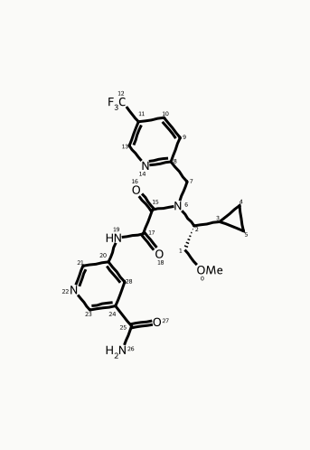 COC[C@@H](C1CC1)N(Cc1ccc(C(F)(F)F)cn1)C(=O)C(=O)Nc1cncc(C(N)=O)c1